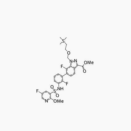 COC(=O)c1nn(COCCS(C)(C)C)c2c(F)c(-c3cccc(NS(=O)(=O)c4cc(F)cnc4OC)c3F)ccc12